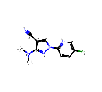 CN(C)c1nn(-c2ccc(Br)cn2)cc1C#N